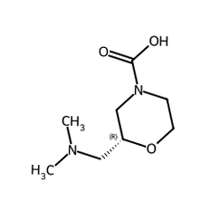 CN(C)C[C@@H]1CN(C(=O)O)CCO1